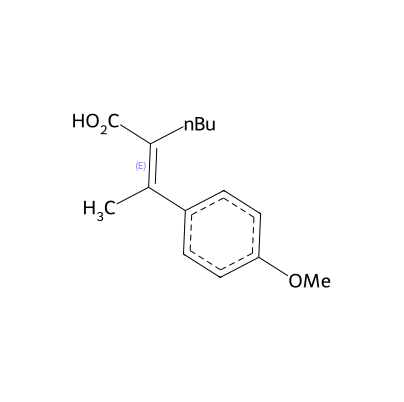 CCCC/C(C(=O)O)=C(/C)c1ccc(OC)cc1